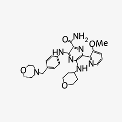 COc1cccnc1-c1nc(C(N)=O)c(Nc2ccc(CN3CCOCC3)cc2)nc1NC1CCOCC1